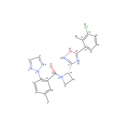 Cc1ccc(-n2nccn2)c(C(=O)N2CC[C@H]2c2noc(-c3cccc(Cl)c3C)n2)c1